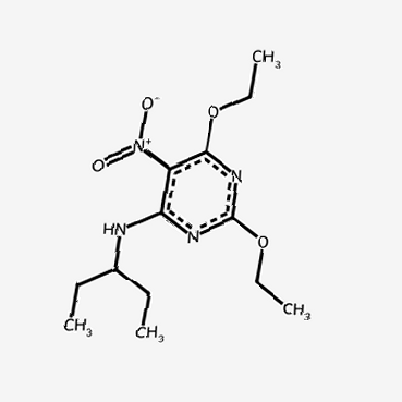 CCOc1nc(NC(CC)CC)c([N+](=O)[O-])c(OCC)n1